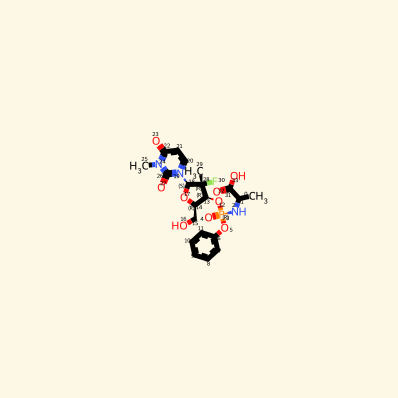 CC(N[P@](=O)(Oc1ccccc1)O[C@@H]1[C@@H](CO)O[C@H](n2ccc(=O)n(C)c2=O)[C@]1(C)F)C(=O)O